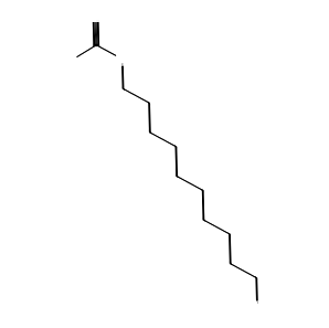 C=C(C)OCCCCCCCCCCC